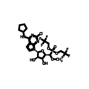 COC([C@@H]1O[C@@H](n2ccc3c(NC4CCCC4)nc(Cl)nc32)[C@H](O)[C@@H]1O)P(=O)(OCC(F)(F)F)OCC(F)(F)F